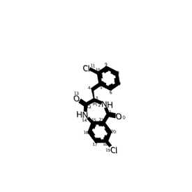 O=C1N[C@H](Cc2ccccc2Cl)C(=O)Nc2ccc(Cl)cc21